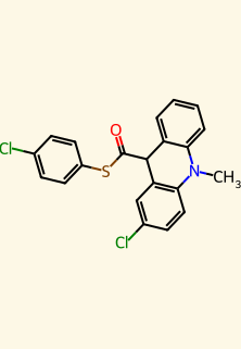 CN1c2ccccc2C(C(=O)Sc2ccc(Cl)cc2)c2cc(Cl)ccc21